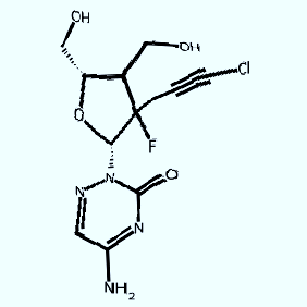 Nc1cnn([C@@H]2O[C@H](CO)C(CO)C2(F)C#CCl)c(=O)n1